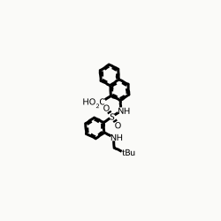 CC(C)(C)CNc1ccccc1S(=O)(=O)Nc1ccc2ccccc2c1C(=O)O